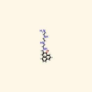 NCCNCCNCCNCC1=Cc2cccc3cccc(c23)C1=O